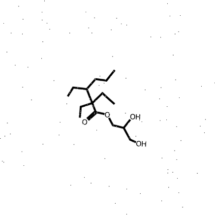 CCCC(CC)C(CC)(CC)C(=O)OCC(O)CO